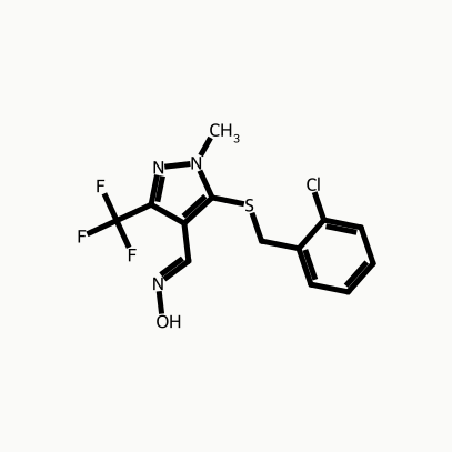 Cn1nc(C(F)(F)F)c(C=NO)c1SCc1ccccc1Cl